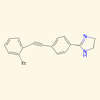 CCc1ccccc1C#Cc1ccc(C2=NCCN2)cc1